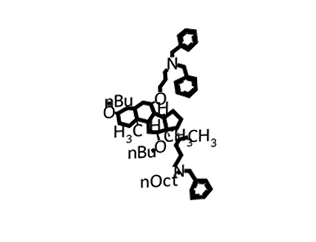 CCCCCCCCN(CCCC(C)[C@H]1CC[C@H]2C3[C@H](OCCCN(Cc4ccccc4)Cc4ccccc4)CC4C[C@H](OCCCC)CC[C@]4(C)[C@H]3C[C@H](OCCCC)[C@]12C)Cc1ccccc1